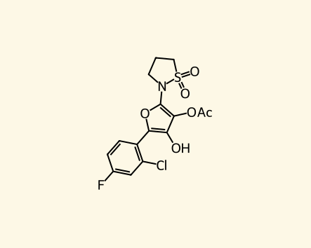 CC(=O)Oc1c(N2CCCS2(=O)=O)oc(-c2ccc(F)cc2Cl)c1O